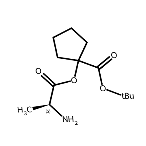 C[C@H](N)C(=O)OC1(C(=O)OC(C)(C)C)CCCC1